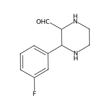 O=CC1NCCNC1c1cccc(F)c1